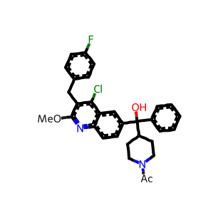 COc1nc2ccc(C(O)(c3ccccc3)C3CCN(C(C)=O)CC3)cc2c(Cl)c1Cc1ccc(F)cc1